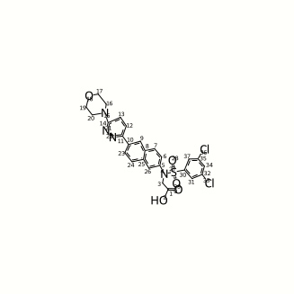 O=C(O)CN(c1ccc2cc(-c3ccc(N4CCOCC4)nn3)ccc2c1)S(=O)(=O)c1cc(Cl)cc(Cl)c1